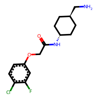 NC[C@H]1CC[C@H](NC(=O)COc2ccc(Cl)c(F)c2)CC1